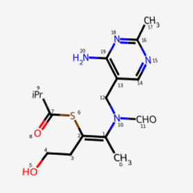 CC(=C(CCO)SC(=O)C(C)C)N(C=O)Cc1cnc(C)nc1N